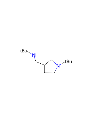 CC(C)(C)NCC1CCN(C(C)(C)C)C1